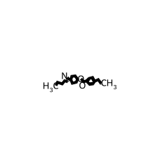 CCCCC[C@]1(C#N)CC[C@H](OC(=O)c2ccc(CCC)cc2)CC1